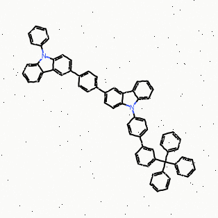 c1ccc(-n2c3ccccc3c3cc(-c4ccc(-c5ccc6c(c5)c5ccccc5n6-c5ccc(-c6cccc(C(c7ccccc7)(c7ccccc7)c7ccccc7)c6)cc5)cc4)ccc32)cc1